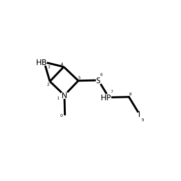 CN1C2BC2C1SPCI